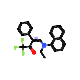 CCN(/C=C(\C(=O)C(F)(F)F)c1ccccc1)c1cccc2ccccc12